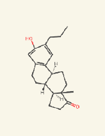 CCCc1cc2c(cc1O)CC[C@@H]1[C@@H]2CC[C@]2(C)C(=O)CC[C@@H]12